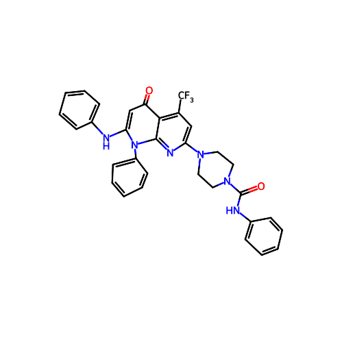 O=C(Nc1ccccc1)N1CCN(c2cc(C(F)(F)F)c3c(=O)cc(Nc4ccccc4)n(-c4ccccc4)c3n2)CC1